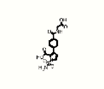 NS(=O)(=O)n1ccc(-c2ccc(C(=O)NCC(=O)O)cc2)c1C(=O)O